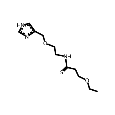 CCOCCC(=S)NCCOCc1c[nH]cn1